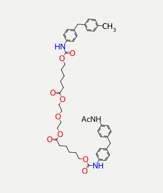 CC(=O)Nc1ccc(Cc2ccc(NC(=O)OCCCCCC(=O)OCCOCCOC(=O)CCCCCOC(=O)Nc3ccc(Cc4ccc(C)cc4)cc3)cc2)cc1